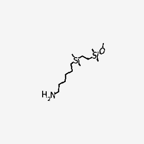 CO[Si](C)(C)CC[Si](C)(C)CCCCCCN